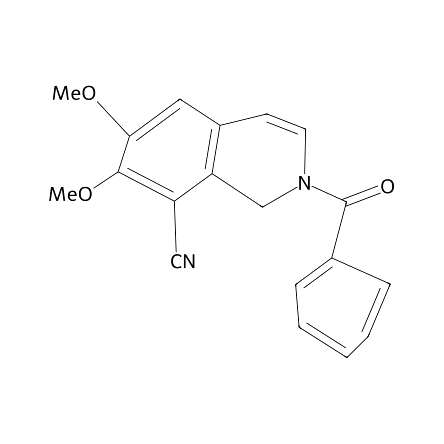 COc1cc2c(c(C#N)c1OC)CN(C(=O)c1ccccc1)C=C2